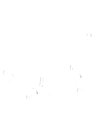 CCOC[C@@H]1CC(c2ccc(C(F)(F)F)cc2)CN1c1ccc(C(=O)N[C@@H](CO)c2ccc(S(=O)(=O)CC)cc2)cc1